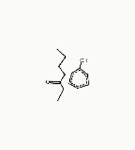 CCCCC(=O)CC.Oc1ccccc1